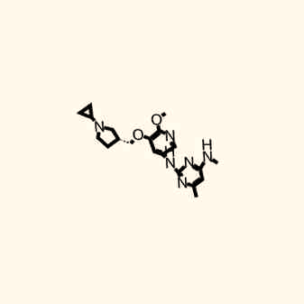 CNc1cc(C)nc(Nc2cnc(OC)c(OC[C@@H]3CCN(C4CC4)C3)c2)n1